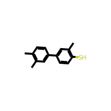 Cc1ccc(-c2ccc(S)c(C)c2)cc1C